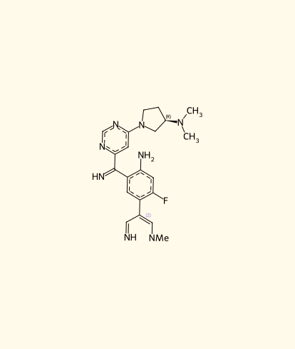 CN/C=C(\C=N)c1cc(C(=N)c2cc(N3CC[C@@H](N(C)C)C3)ncn2)c(N)cc1F